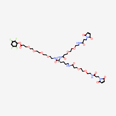 O=C(CCOCCOCCNC(=O)CCN1C(=O)C=CC1=O)NCCCC[C@H](NC(=O)CCOCCOCCNC(=O)CCN1C(=O)C=CC1=O)C(=O)NCCOCCOCCOCCOCCC(=O)Oc1c(F)c(F)cc(F)c1F